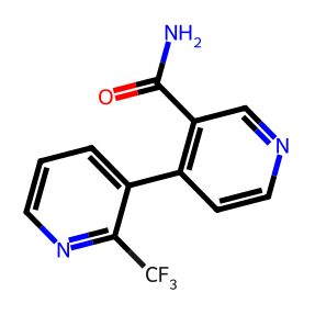 NC(=O)c1cnccc1-c1cccnc1C(F)(F)F